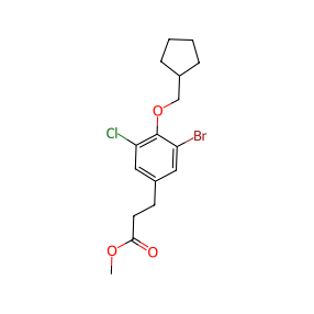 COC(=O)CCc1cc(Cl)c(OCC2CCCC2)c(Br)c1